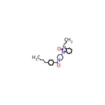 C=CCn1c(=O)n(C2CCN(C(=O)c3ccc(CCCC)cc3)CC2)c2ccccc21